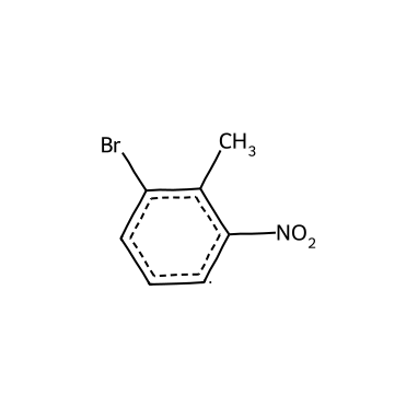 Cc1c([N+](=O)[O-])[c]ccc1Br